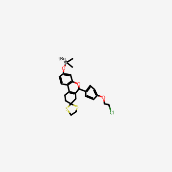 CC(C)(C)[Si](C)(C)Oc1ccc2c(c1)OC(c1ccc(OCCCl)cc1)C1=C2CCC2(C1)SCCS2